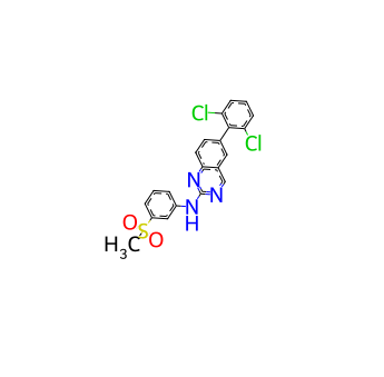 CS(=O)(=O)c1cccc(Nc2ncc3cc(-c4c(Cl)cccc4Cl)ccc3n2)c1